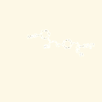 CCO[C@@H](Cc1ccc(OCC(O)c2cccc(OC)c2)cc1)C(=O)O